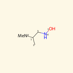 CNC(C)CNO